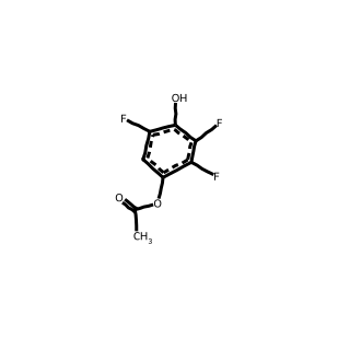 CC(=O)Oc1cc(F)c(O)c(F)c1F